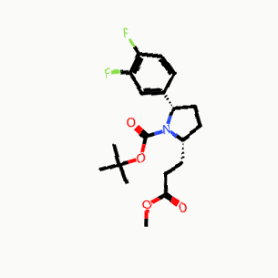 COC(=O)CC[C@H]1CC[C@@H](c2ccc(F)c(F)c2)N1C(=O)OC(C)(C)C